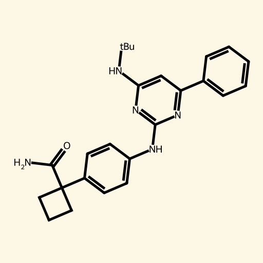 CC(C)(C)Nc1cc(-c2ccccc2)nc(Nc2ccc(C3(C(N)=O)CCC3)cc2)n1